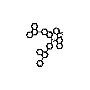 c1ccc(-c2ccc(-c3ccc(N(c4ccc5ccc(-c6cc7ccccc7c7ccccc67)cc5c4)c4c5ccccc5cc5sc6ccccc6c45)cc3)c3ccccc23)cc1